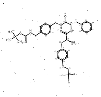 CC(C)(C)OC(=O)NCc1ccc(CNC(=O)[C@H](Cc2ccccc2)NC(=O)[C@@H](N)Cc2ccc(OCC(F)(F)F)cc2)cc1